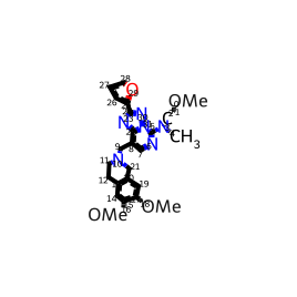 COCCN(C)c1ncc(CN2CCc3cc(OC)c(OC)cc3C2)c2nc(-c3ccco3)nn12